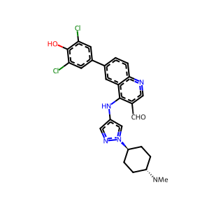 CN[C@H]1CC[C@H](n2cc(Nc3c(C=O)cnc4ccc(-c5cc(Cl)c(O)c(Cl)c5)cc34)cn2)CC1